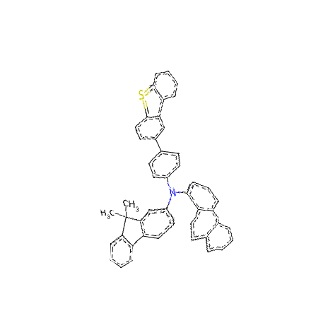 CC1(C)c2ccccc2-c2ccc(N(c3ccc(-c4ccc5sc6ccccc6c5c4)cc3)c3cccc4c3ccc3ccccc34)cc21